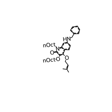 CCCCCCCCOc1c(OCC=C(C)C)c2ccc(NCc3ccccc3)cc2n(CCCCCCCC)c1=O